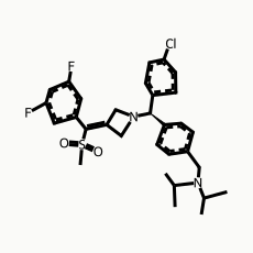 CC(C)N(Cc1ccc([C@H](c2ccc(Cl)cc2)N2CC(=C(c3cc(F)cc(F)c3)S(C)(=O)=O)C2)cc1)C(C)C